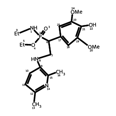 CCNP(=O)(OCC)C(CNc1ccc(C)nc1C)c1cc(OC)c(O)c(OC)c1